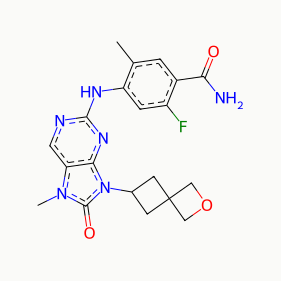 Cc1cc(C(N)=O)c(F)cc1Nc1ncc2c(n1)n(C1CC3(COC3)C1)c(=O)n2C